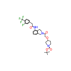 CC(C)(C)OC(=O)N1CCC(OCC(=O)N2CCc3c(cccc3NC(=O)Cc3ccc(C(F)(F)F)c(F)c3)C2)CC1